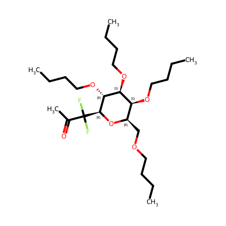 CCCCOC[C@H]1O[C@@H](C(F)(F)C(C)=O)[C@H](OCCCC)[C@@H](OCCCC)[C@H]1OCCCC